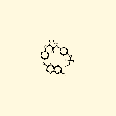 CC(Oc1ccc(Oc2cnc3cc(Cl)ccc3n2)cc1)C(=O)Nc1ccc(OC(F)(F)CF)cc1